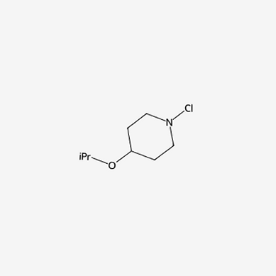 CC(C)OC1CCN(Cl)CC1